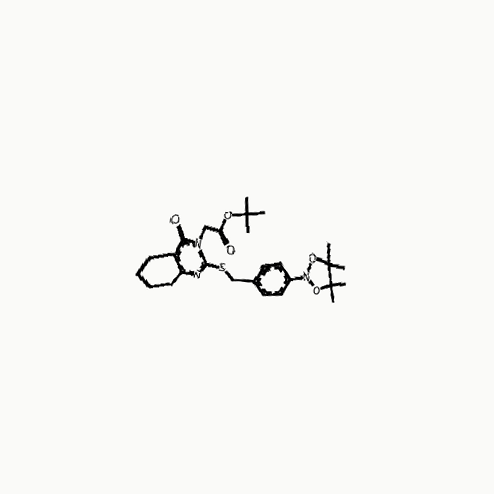 CC(C)(C)OC(=O)Cn1c(SCc2ccc(N3OC(C)(C)C(C)(C)O3)cc2)nc2c(c1=O)CCCC2